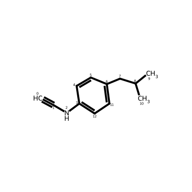 C#CNc1ccc(CC(C)C)cc1